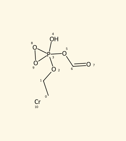 CCOP1(O)(OC=O)OO1.[Cr]